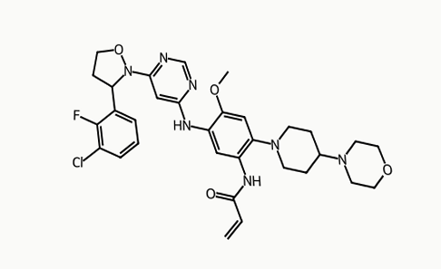 C=CC(=O)Nc1cc(Nc2cc(N3OCCC3c3cccc(Cl)c3F)ncn2)c(OC)cc1N1CCC(N2CCOCC2)CC1